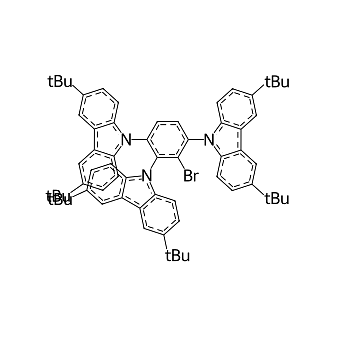 CC(C)(C)c1ccc2c(c1)c1cc(C(C)(C)C)ccc1n2-c1ccc(-n2c3ccc(C(C)(C)C)cc3c3cc(C(C)(C)C)ccc32)c(-n2c3ccc(C(C)(C)C)cc3c3cc(C(C)(C)C)ccc32)c1Br